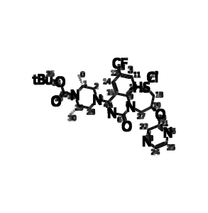 C[C@@H]1CN(c2nc(=O)n3c4c(cc(C(F)(F)F)cc24)[SH](Cl)C[C@@H](Oc2cnccn2)C3)C[C@H](C)N1C(=O)OC(C)(C)C